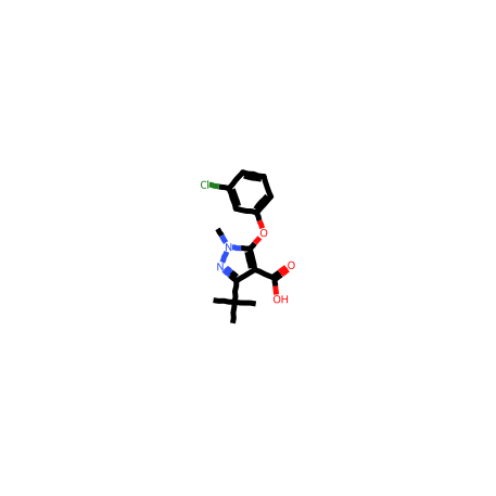 Cn1nc(C(C)(C)C)c(C(=O)O)c1Oc1cccc(Cl)c1